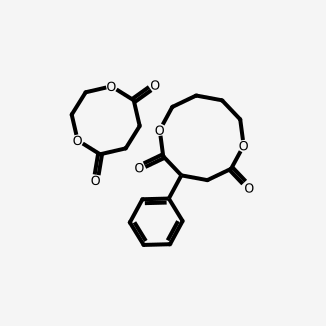 O=C1CC(c2ccccc2)C(=O)OCCCCO1.O=C1CCC(=O)OCCO1